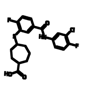 O=C(Nc1ccc(F)c(Cl)c1)c1ccc(F)c(SC2CCCC(C(=O)O)CC2)c1